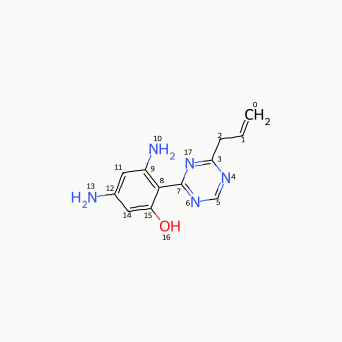 C=CCc1ncnc(-c2c(N)cc(N)cc2O)n1